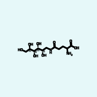 NC(CCC(=O)NC[C@H](O)[C@@H](O)[C@H](O)[C@H](O)CO)C(=O)O